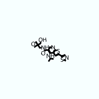 CC(C)Nc1c(C(=O)NCC2(CO)COC2)cnc2sc(-c3cncs3)cc12